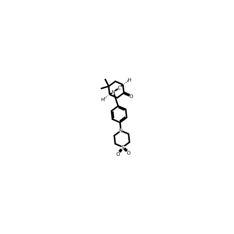 CC1(C)C[C@@H]2CN(c3ccc(N4CCS(=O)(=O)CC4)cc3)[C@H]1CC2=O